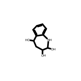 OC1CC(O)C(O)Nc2ccccc21